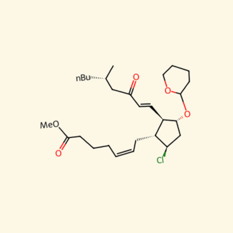 CCCC[C@H](C)CC(=O)/C=C/[C@@H]1[C@@H](C/C=C\CCCC(=O)OC)[C@H](Cl)C[C@H]1OC1CCCCO1